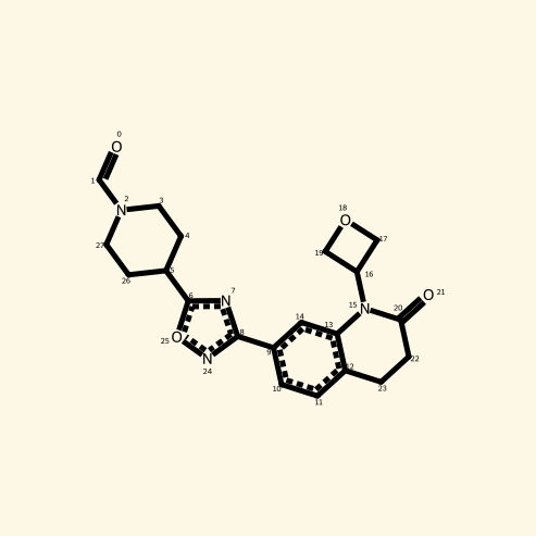 O=CN1CCC(c2nc(-c3ccc4c(c3)N(C3COC3)C(=O)CC4)no2)CC1